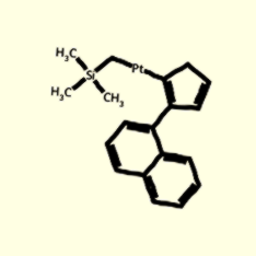 C[Si](C)(C)[CH2][Pt][C]1=C(c2cccc3ccccc23)C=CC1